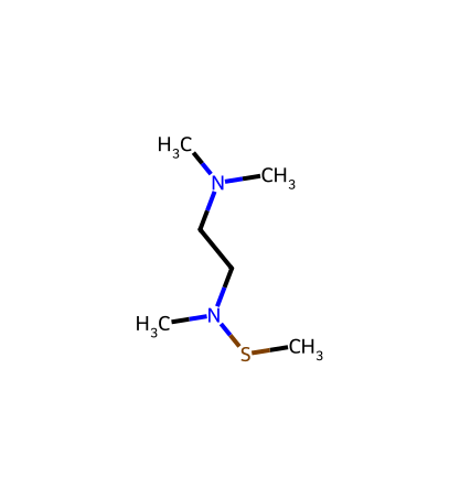 CSN(C)CCN(C)C